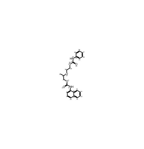 CC(COC(=O)Nc1cccc2ccccc12)OCCOC(=O)Nc1ccccc1